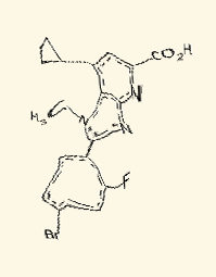 Cn1c(-c2ccc(Br)cc2F)nc2nc(C(=O)O)cc(C3CC3)c21